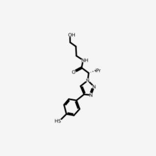 CC(C)[C@@H](C(=O)NCCCO)n1cc(-c2ccc(S)cc2)nn1